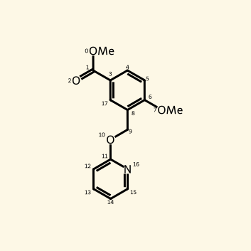 COC(=O)c1ccc(OC)c(COc2ccccn2)c1